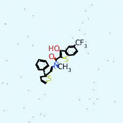 CN(C=CC1(c2ccccc2)CC=CS1)C(=O)c1sc2ccc(C(F)(F)F)cc2c1O